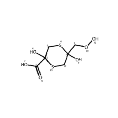 O=C(O)C1(O)CSC(O)(COO)CS1